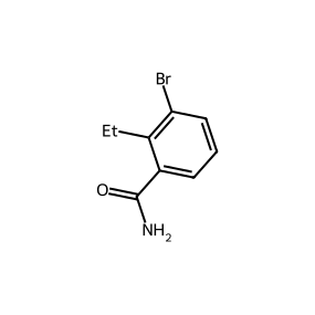 CCc1c(Br)cccc1C(N)=O